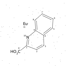 O=C(O)c1ccc2ccccc2n1.[Eu]